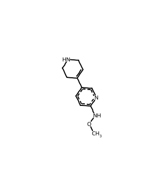 CONc1ccc(C2=CCNCC2)cn1